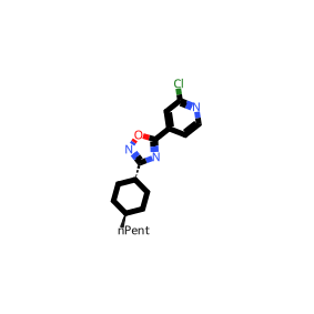 CCCCC[C@H]1CC[C@H](c2noc(-c3ccnc(Cl)c3)n2)CC1